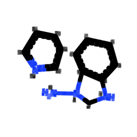 NN1CNc2ccccc21.c1ccncc1